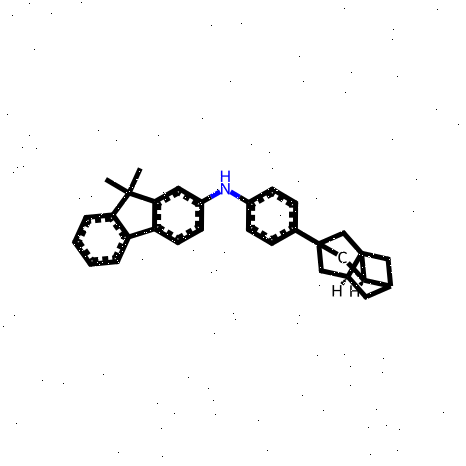 CC1(C)c2ccccc2-c2ccc(Nc3ccc(C45C[C@@H]6CC7CC6(C4)[C@@H]7C5)cc3)cc21